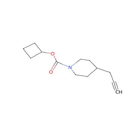 C#CCC1CCN(C(=O)OC2CCC2)CC1